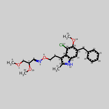 COCC(C=NOCCc1c(C)[nH]c2cc(Cc3ccccc3)c(OC)c(Cl)c12)OC